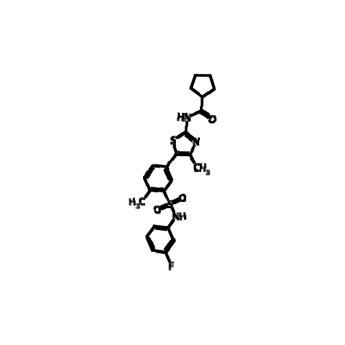 Cc1ccc(-c2sc(NC(=O)C3CCCC3)nc2C)cc1S(=O)(=O)Nc1cccc(F)c1